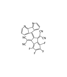 N#CC(C#N)=C1C(=C2c3cccnc3-c3ncccc32)C(=C(C#N)C#N)c2c(F)c(F)c(F)c(F)c21